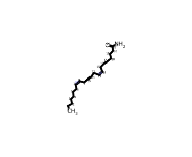 CCCCCCC/C=C\CC#CC/C=C\CC#CCCCC(N)=O